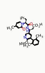 COc1ncc([C@H](CC(=O)O)NC(=O)[C@H](CC(C)C)n2ccc(C)cc2=O)cc1-c1c(C)cccc1C